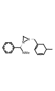 CNC(c1ccccc1)[N@]1C[N@]1CC1=CC=CC(C)C1